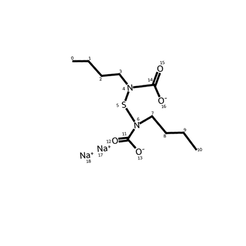 CCCCN(SN(CCCC)C(=O)[O-])C(=O)[O-].[Na+].[Na+]